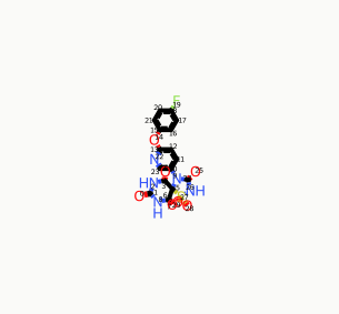 O=C1NC(=O)C2(C(=O)N1)N(c1ccc(Oc3ccc(F)cc3)nc1)C(=O)NS2(=O)=O